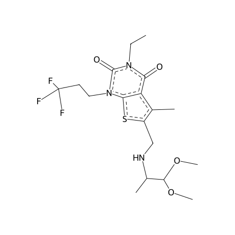 CCn1c(=O)c2c(C)c(CNC(C)C(OC)OC)sc2n(CCC(F)(F)F)c1=O